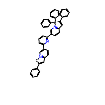 C1=C(c2ccccc2)[B-](c2ccccc2)(c2ccccc2)[n+]2cc(-c3cccc(-c4ccc5cc(-c6ccccc6)[cH-][n+]5c4)n3)ccc21